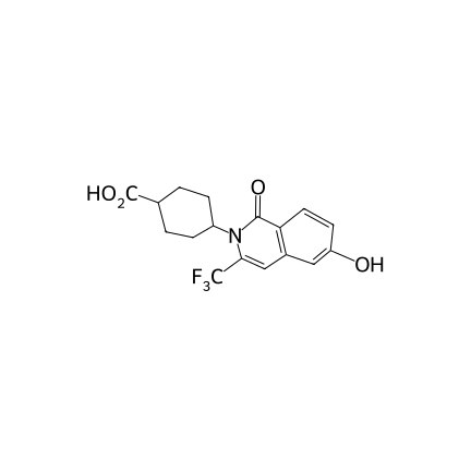 O=C(O)C1CCC(n2c(C(F)(F)F)cc3cc(O)ccc3c2=O)CC1